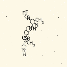 Cc1cc(N2CCC(F)(F)C2)cc2c(N3CCc4ccc(S(=O)(=O)N(C)CC5CCNCC5)cc4C3)ncnc12